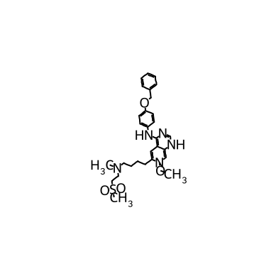 CON1C=C2NC=NC(Nc3ccc(OCc4ccccc4)cc3)=C2C=C1CCCCN(C)CCS(C)(=O)=O